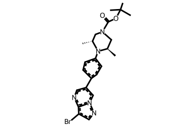 C[C@@H]1CN(C(=O)OC(C)(C)C)C[C@@H](C)N1c1ccc(-c2cnc3c(Br)cnn3c2)cc1